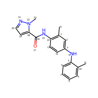 Cc1cc(Nc2ccccc2C)ccc1NC(=O)c1ccnn1C